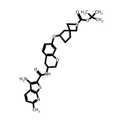 Cc1ccc2c(N)c(C(=O)NC3COc4cc(OC5CCC6(C5)CN(C(=O)OC(C)(C)C)C6)ccc4C3)sc2n1